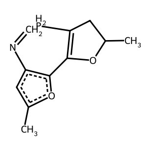 C=Nc1cc(C)oc1C1=C(P)CC(C)O1